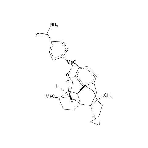 COc1ccc2c3c1O[C@H]1[C@@]4(OC)CC[C@@]5(C[C@@H]4COCc4ccc(C(N)=O)cc4)[C@@H](C2)C(C)(CC2CC2)CC[C@]315